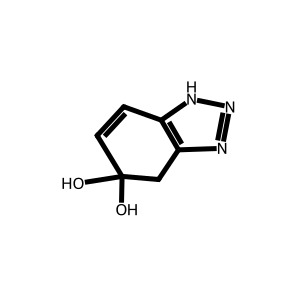 OC1(O)C=Cc2[nH]nnc2C1